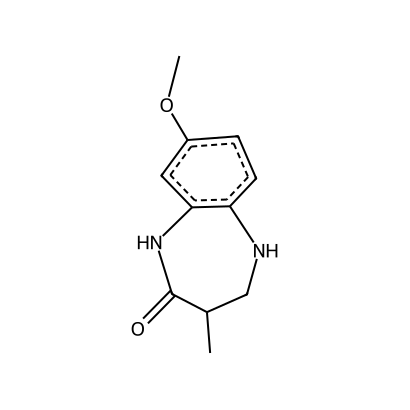 COc1ccc2c(c1)NC(=O)C(C)CN2